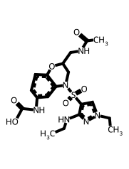 CCNc1nn(CC)cc1S(=O)(=O)N1CC(CNC(C)=O)Oc2ccc(NC(=O)O)cc21